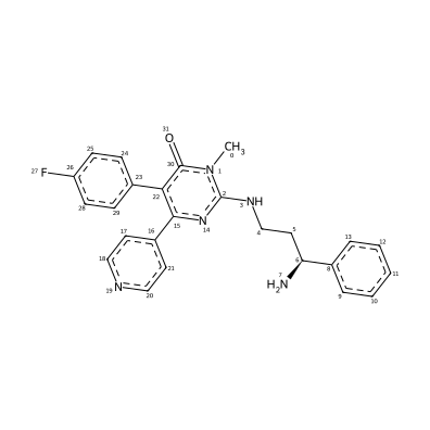 Cn1c(NCC[C@H](N)c2ccccc2)nc(-c2ccncc2)c(-c2ccc(F)cc2)c1=O